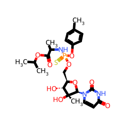 Cc1ccc(OP(=S)(NC(C)C(=O)OC(C)C)OC[C@H]2O[C@@H](n3ccc(=O)[nH]c3=O)[C@](C)(O)[C@@H]2O)cc1